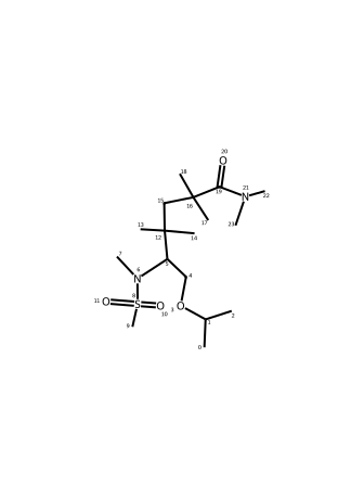 CC(C)OCC(N(C)S(C)(=O)=O)C(C)(C)CC(C)(C)C(=O)N(C)C